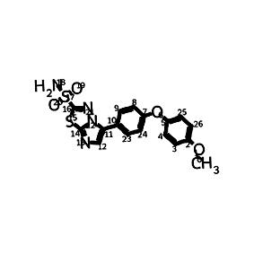 COc1ccc(Oc2ccc(-c3cnc4sc(S(N)(=O)=O)nn34)cc2)cc1